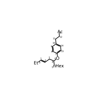 CC/C=C/CC(CCCCCC)Oc1ccc(CCC(C)=O)cc1